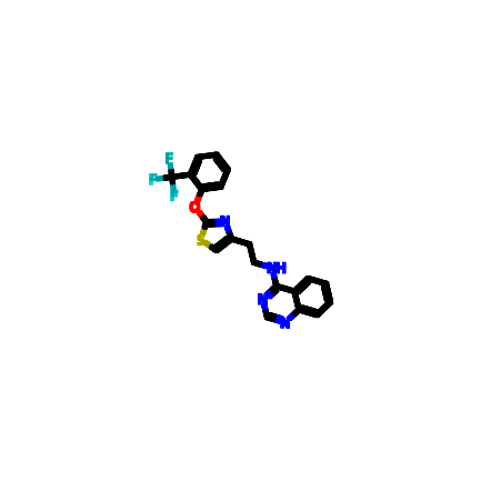 FC(F)(F)c1ccccc1Oc1nc(CCNc2ncnc3ccccc23)cs1